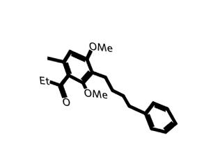 CCC(=O)c1c(C)cc(OC)c(CCCCc2ccccc2)c1OC